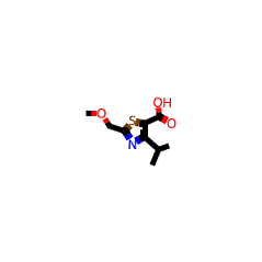 COCc1nc(C(C)C)c(C(=O)O)s1